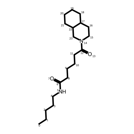 CCCCCNC(=O)CCCCC(=O)N1CCC2CCCCC2C1